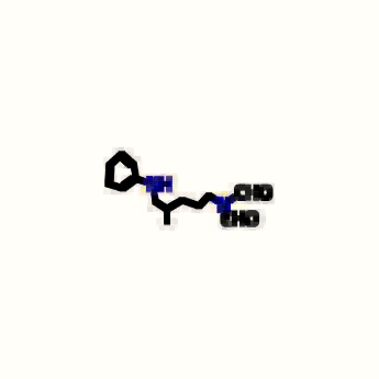 CC(CCCN(C=O)C=O)CNc1ccccc1